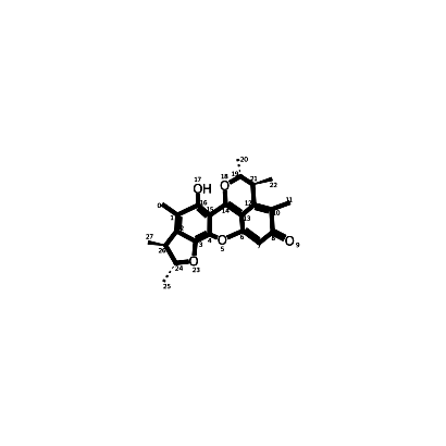 Cc1c2c(c3oc4cc(=O)c(C)c5c-4c(c3c1O)O[C@H](C)[C@H]5C)O[C@H](C)[C@H]2C